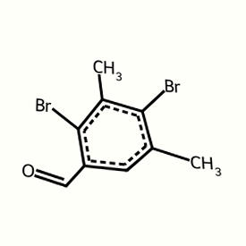 Cc1cc(C=O)c(Br)c(C)c1Br